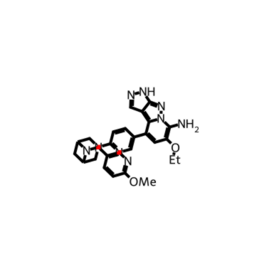 CCOc1cc(-c2ccc(N3CC4CC(C3)N4Cc3ccc(OC)nc3)nc2)c2c3cn[nH]c3nn2c1N